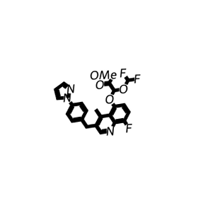 COC(=O)C(Oc1ccc(F)c2ncc(Cc3ccc(-n4cccn4)cc3)c(C)c12)OC(F)F